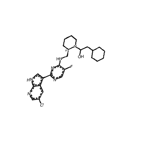 OC(CC1CCCCC1)N1CCCC[C@@H]1CNc1nc(-c2c[nH]c3ncc(Cl)cc23)ncc1F